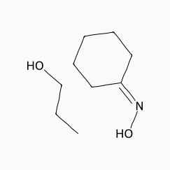 CCCO.ON=C1CCCCC1